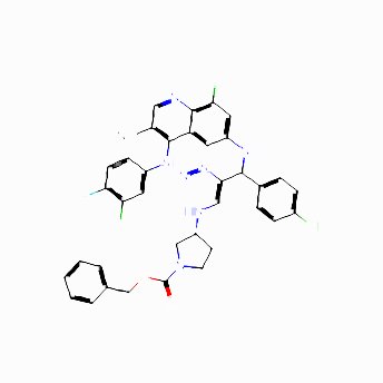 N#Cc1cnc2c(Cl)cc(NC(/C(=C/N[C@H]3CCN(C(=O)OCc4ccccc4)C3)N=N)c3ccc(Cl)cc3)cc2c1Nc1ccc(F)c(Cl)c1